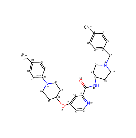 [C-]#[N+]c1ccc(CN2CCC(NC(=O)c3cc(OC4CCN(c5ccc(C(F)(F)F)cc5)CC4)ccn3)CC2)cc1